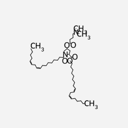 CCCCC/C=C\C/C=C\CCCCCCCCOC(=O)C1CC(OC(=O)CCCN(C)C)CN1C(=O)CCCCCCC/C=C\C/C=C\CCCCC